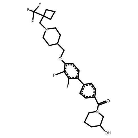 O=C(c1ccc(-c2ccc(OCC3CCN(CC4(C(F)(F)F)CCC4)CC3)c(F)c2F)cc1)N1CCCC(O)C1